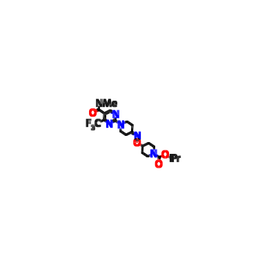 CNC(=O)c1cnc(N2CCC(=NOC3CCN(C(=O)OC(C)C)CC3)CC2)nc1C(F)(F)F